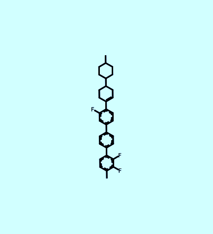 Cc1ccc(-c2ccc(-c3ccc(C4=CCC(C5CCC(C)CC5)CC4)c(F)c3)cc2)c(F)c1F